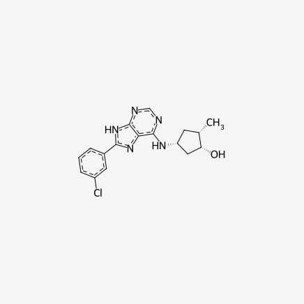 C[C@H]1C[C@@H](Nc2ncnc3[nH]c(-c4cccc(Cl)c4)nc23)C[C@H]1O